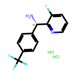 Cl.Cl.N[C@@H](c1ccc(C(F)(F)F)cc1)c1ncccc1F